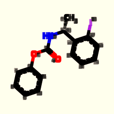 C[C@@H](NC(=O)Oc1ccccc1)c1ccccc1I